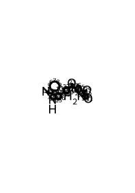 N#CC1(C2CCCCCCCC2)CNc2ccc(-c3ccc(C(=O)N4CCN(C(=O)C5(N)COC5)CC4)cc3)cc21